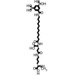 CN[C@@H](CCCCNC(=O)CC[C@H](NC(=O)CCCCCCCCCCCNC(=O)c1cc(B(O)O)cc(B(O)O)c1)C(=O)O)C(=O)O